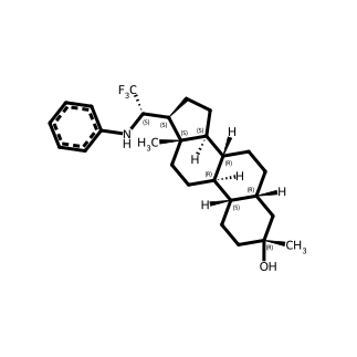 C[C@@]1(O)CC[C@H]2[C@H](CC[C@@H]3[C@@H]2CC[C@]2(C)[C@@H]([C@H](Nc4ccccc4)C(F)(F)F)CC[C@@H]32)C1